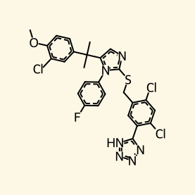 COc1ccc(C(C)(C)c2cnc(SCc3cc(-c4nnn[nH]4)c(Cl)cc3Cl)n2-c2ccc(F)cc2)cc1Cl